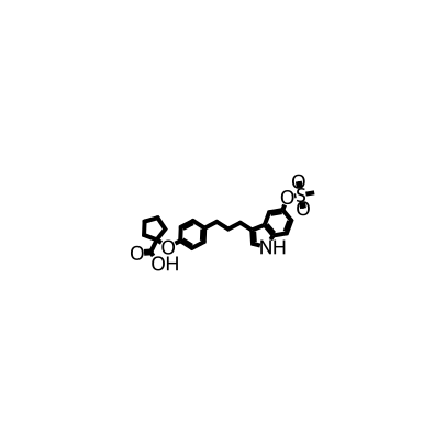 CS(=O)(=O)Oc1ccc2[nH]cc(CCCc3ccc(OC4(C(=O)O)CCCC4)cc3)c2c1